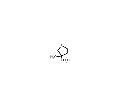 CC1(C(=O)O)CCSC1